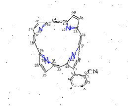 N#Cc1ccccc1C1=CC2=CC3=NC(=CC4=NC(=CC5=NC(=CC1=N2)C=C5)C=C4)C=C3